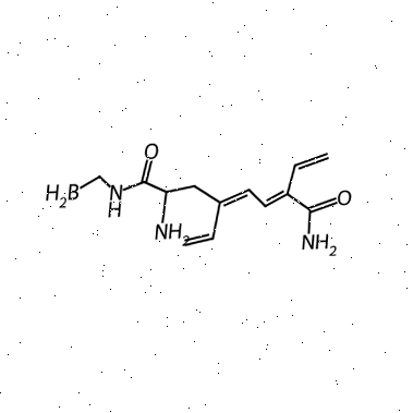 BCNC(=O)C(N)C/C(C=C)=C/C=C(\C=C)C(N)=O